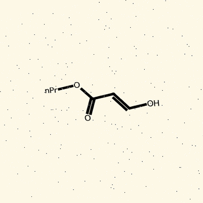 [CH2]CCOC(=O)C=CO